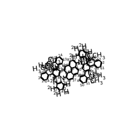 [2H]c1c([2H])c([2H])c(N(c2cc(-c3ccccc3[Si](C)(C)C)cc(-c3ccccc3[Si](C)(C)C)c2F)c2ccc3ccc4c(N(c5cc(-c6ccccc6[Si](C)(C)C)cc(-c6ccccc6[Si](C)(C)C)c5F)c5c([2H])c([2H])c([2H])c([2H])c5[2H])ccc5ccc2c3c54)c([2H])c1[2H]